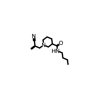 C=C(C#N)CN1CCCC(C(=O)NCCCC)C1